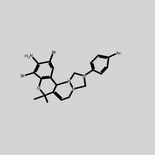 CC(=O)c1ccc(N2CN3CC=C4C(c5cc(Br)c(N)c(Br)c5OC4(C)C)N3C2)cc1